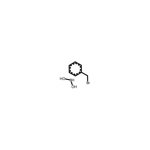 BrCc1ccccc1.OBO